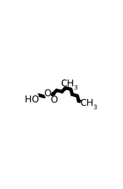 CCCCCC(C)CCC(=O)OCCO